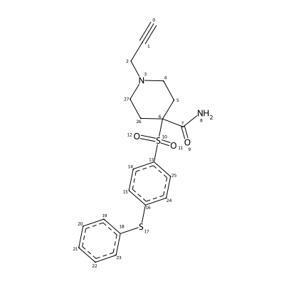 C#CCN1CCC(C(N)=O)(S(=O)(=O)c2ccc(Sc3ccccc3)cc2)CC1